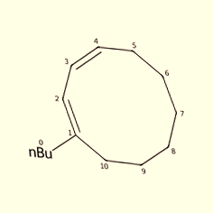 CCCCC1=CC=CCCCCCC1